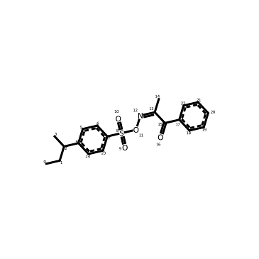 CCC(C)c1ccc(S(=O)(=O)ON=C(C)C(=O)c2ccccc2)cc1